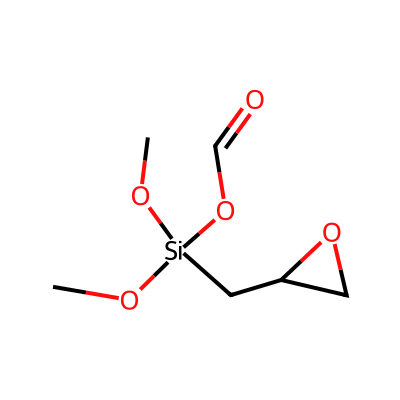 CO[Si](CC1CO1)(OC)OC=O